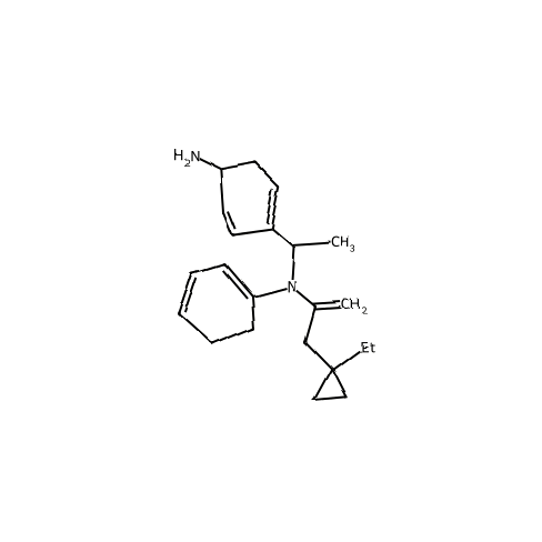 C=C(CC1(CC)CC1)N(C1=CC=CCC1)C(C)C1=CCC(N)C=C1